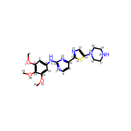 COc1cc(Nc2nccc(-c3ncc(N4CCNCC4)s3)n2)cc(OC)c1OC